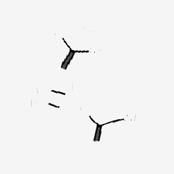 CC.CC.NC([O-])=S.NC([O-])=S.[Zn+2]